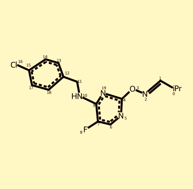 CC(C)C=NOc1ncc(F)c(NCc2ccc(Cl)cc2)n1